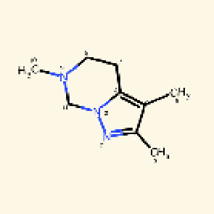 Cc1nn2c(c1C)CCN(C)C2